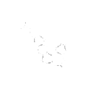 CN(C)CCc1cnc(C(F)(F)F)c(Nc2ncc3c(n2)-c2ccc(Cl)cc2NC(=O)C3)c1